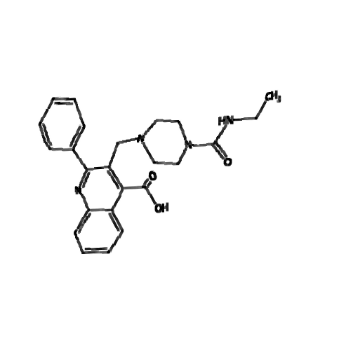 CCNC(=O)N1CCN(Cc2c(-c3ccccc3)nc3ccccc3c2C(=O)O)CC1